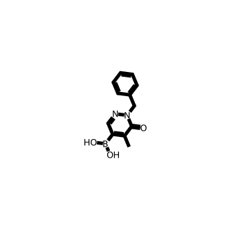 Cc1c(B(O)O)cnn(Cc2ccccc2)c1=O